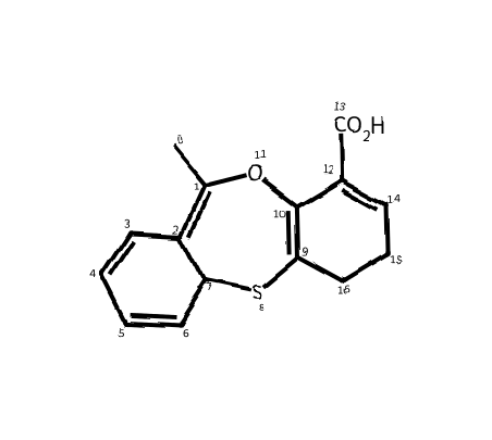 CC1=C2C=CC=CC2SC2=C(O1)C(C(=O)O)=CCC2